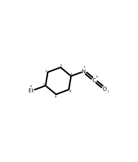 CCC1CCC(N=C=O)CC1